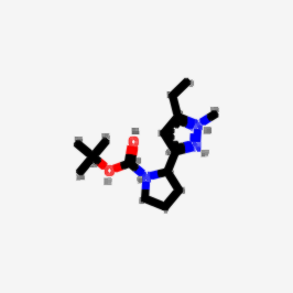 CCc1cc(C2CCCN2C(=O)OC(C)(C)C)nn1C